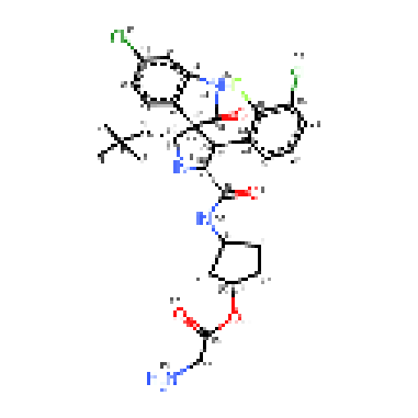 CC(C)(C)C[C@H]1N[C@@H](C(=O)NC2CC[C@@H](OC(=O)CN)C2)[C@H](c2cccc(Cl)c2F)[C@@]12C(=O)Nc1cc(Cl)ccc12